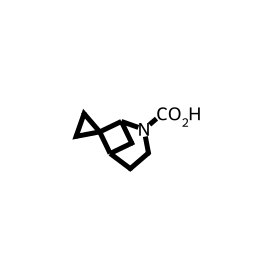 O=C(O)N1CCC2CC1C21CC1